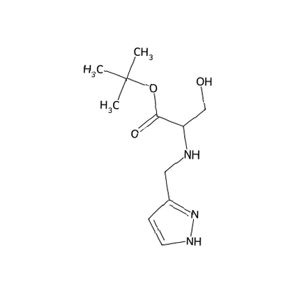 CC(C)(C)OC(=O)C(CO)NCc1cc[nH]n1